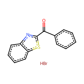 Br.O=C(c1ccccc1)c1nc2ccccc2s1